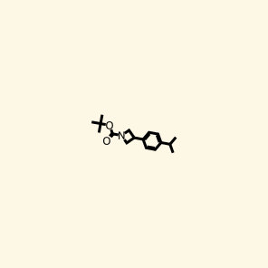 CC(C)c1ccc(C2CN(C(=O)OC(C)(C)C)C2)cc1